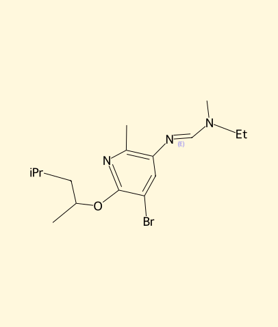 CCN(C)/C=N/c1cc(Br)c(OC(C)CC(C)C)nc1C